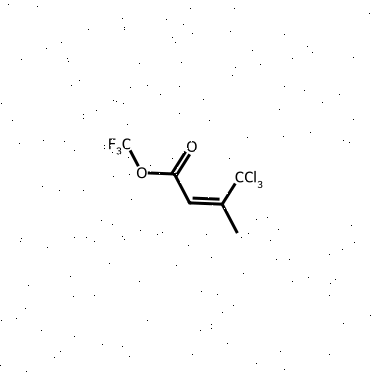 C/C(=C/C(=O)OC(F)(F)F)C(Cl)(Cl)Cl